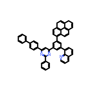 C1=Cc2ccc3c(-c4cc(-c5cc(-c6ccc(-c7ccccc7)cc6)nc(-c6ccccc6)n5)cc(-c5cccc6cccnc56)c4)ccc4c3c2C(=CC4)C1